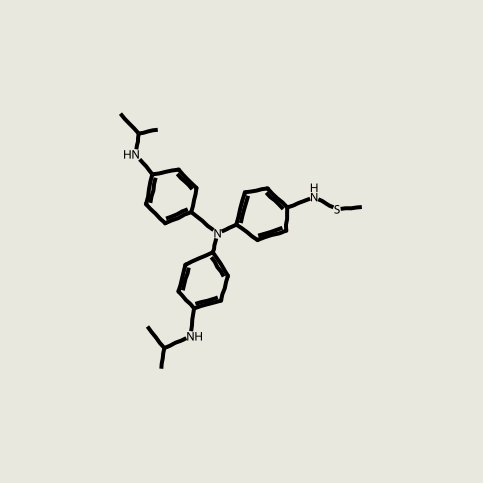 CSNc1ccc(N(c2ccc(NC(C)C)cc2)c2ccc(NC(C)C)cc2)cc1